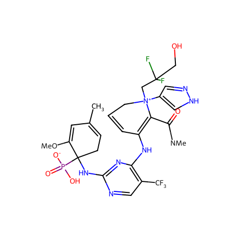 CNC(=O)C1=C(Nc2nc(NC3(P(=O)([O-])O)CC=C(C)C=C3OC)ncc2C(F)(F)F)C=CC[N+]1(CC(F)(F)CO)c1cn[nH]c1